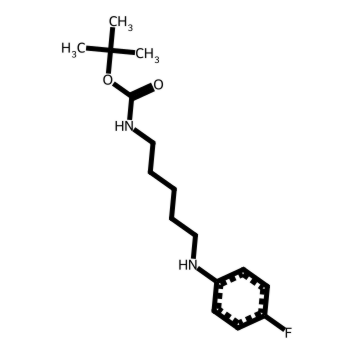 CC(C)(C)OC(=O)NCCCCCNc1ccc(F)cc1